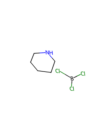 C1CCNCC1.ClB(Cl)Cl